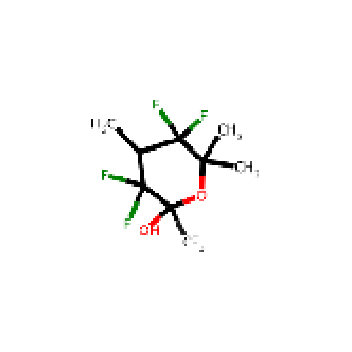 CC1C(F)(F)C(C)(C)OC(O)(C(F)(F)F)C1(F)F